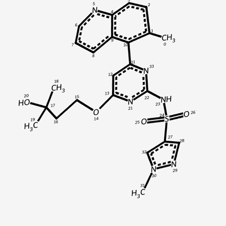 Cc1ccc2ncccc2c1-c1cc(OCCC(C)(C)O)nc(NS(=O)(=O)c2cnn(C)c2)n1